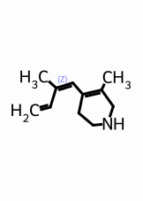 C=C/C(C)=C\C1=C(C)CNCC1